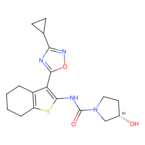 O=C(Nc1sc2c(c1-c1nc(C3CC3)no1)CCCC2)N1CC[C@H](O)C1